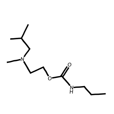 CCCNC(=O)OCCN(C)CC(C)C